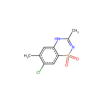 CC1=NS(=O)(=O)c2cc(Cl)c(C)cc2N1